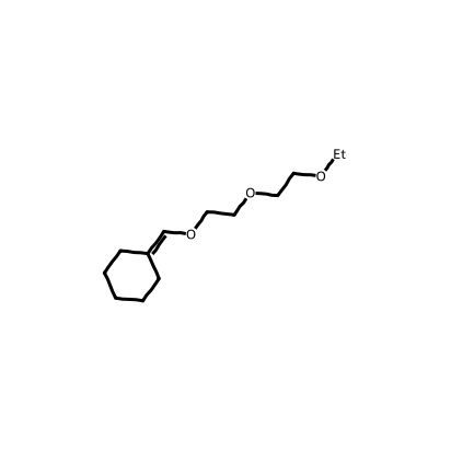 CCOCCOCCOC=C1CCCCC1